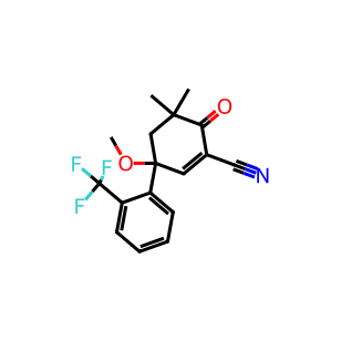 COC1(c2ccccc2C(F)(F)F)C=C(C#N)C(=O)C(C)(C)C1